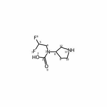 O=C(O)N(CC(F)F)C1CCNC1